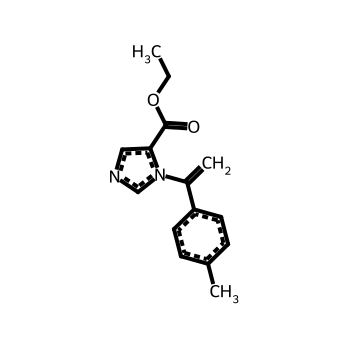 C=C(c1ccc(C)cc1)n1cncc1C(=O)OCC